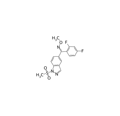 CO/N=C(/c1ccc2c(cnn2S(C)(=O)=O)c1)c1ccc(F)cc1F